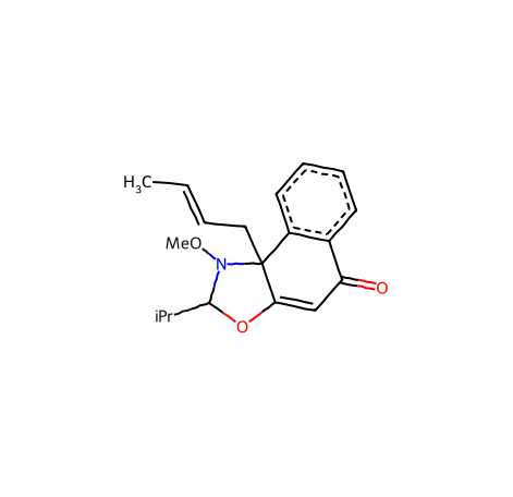 C/C=C/CC12C(=CC(=O)c3ccccc31)OC(C(C)C)N2OC